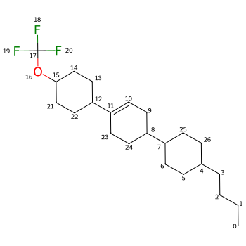 CCCCC1CCC(C2CC=C(C3CCC(OC(F)(F)F)CC3)CC2)CC1